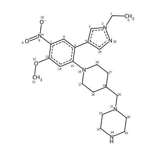 CCn1cc(-c2cc([N+](=O)[O-])c(OC)cc2N2CCC(CN3CCNCC3)CC2)cn1